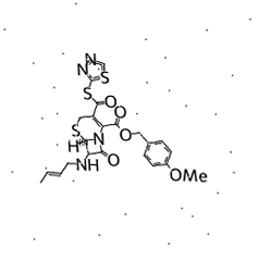 CC=CCNC1C(=O)N2C(C(=O)OCc3ccc(OC)cc3)=C(C(=O)Sc3nncs3)CS[C@@H]12